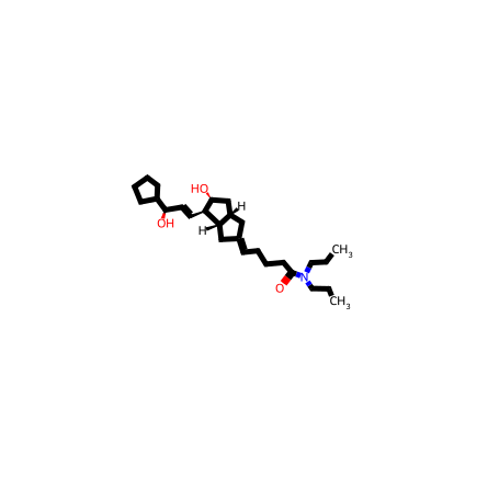 CCCN(CCC)C(=O)CCC/C=C1\C[C@H]2C[C@@H](O)[C@H](/C=C/[C@@H](O)C3CCCC3)[C@H]2C1